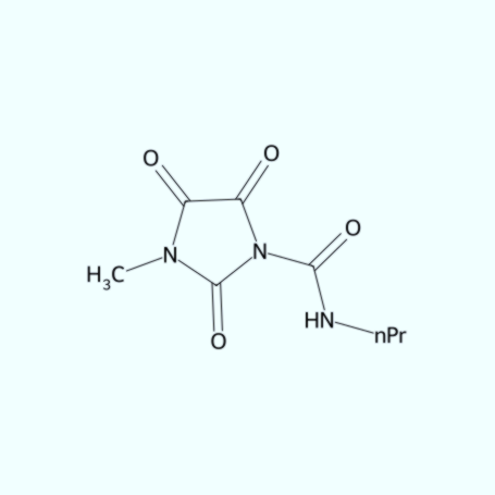 CCCNC(=O)N1C(=O)C(=O)N(C)C1=O